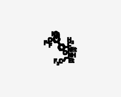 CC[C@H](CCC(F)(F)F)NC(=O)N(CC)[C@H](C)c1cccc(-c2cc(OC(F)F)c3nccn3c2)c1